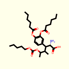 CCCCCOC(=O)OC(C)C(C)C(c1ccc(OC(=O)CCCCC)c(OC(=O)CCCCC)c1)[C@H](N)C(=O)O